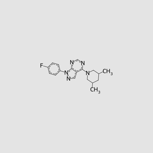 CC1CC(C)CN(c2ncnc3c2cnn3-c2ccc(F)cc2)C1